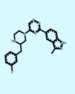 Cc1n[nH]c2ccc(-c3nncc(N4CCNC(Cc5cccc(F)c5)C4)n3)cc12